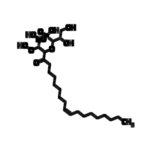 CCCCCCCC/C=C\CCCCCCCC(=O)C(OC(C(O)CO)P(=O)(O)O)[C@H](CO)OO